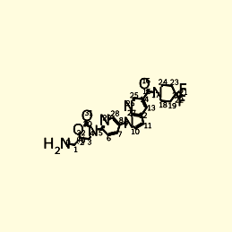 NC[C@@H]1CN(c2ccc(-n3ccc4cc(C(=O)N5CCC(F)(F)CC5)cnc43)cn2)C(=O)O1